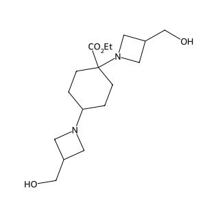 CCOC(=O)C1(N2CC(CO)C2)CCC(N2CC(CO)C2)CC1